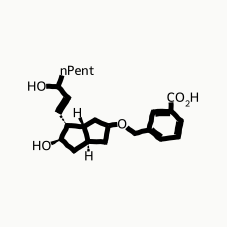 CCCCCC(O)C=C[C@@H]1[C@@H]2CC(OCc3cccc(C(=O)O)c3)C[C@H]2C[C@H]1O